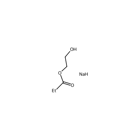 CCC(=O)OCCO.[NaH]